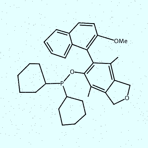 COc1ccc2ccccc2c1-c1c(C)c2c(c(C)c1OP(C1CCCCC1)C1CCCCC1)COC2